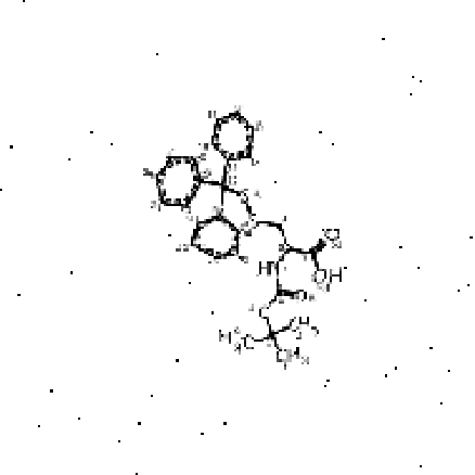 CC(C)(C)OC(=O)N[C@@H](CSSC(c1ccccc1)(c1ccccc1)c1ccccc1)C(=O)O